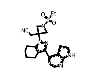 CCS(=O)(=O)N1CC(CC#N)(n2nc(-c3ncnc4[nH]ccc34)c3c2CCCC3)C1